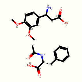 CC(=O)N[C@H](Cc1ccccc1)C(=O)O.COc1ccc(C(N)CC(=O)O)cc1OC